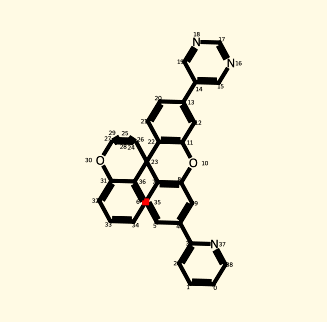 c1ccc(-c2ccc3c(c2)Oc2cc(-c4cncnc4)ccc2C32c3ccccc3Oc3ccccc32)nc1